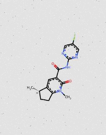 C[C@H]1CCc2c1cc(C(=O)Nc1ncc(F)cn1)c(=O)n2C